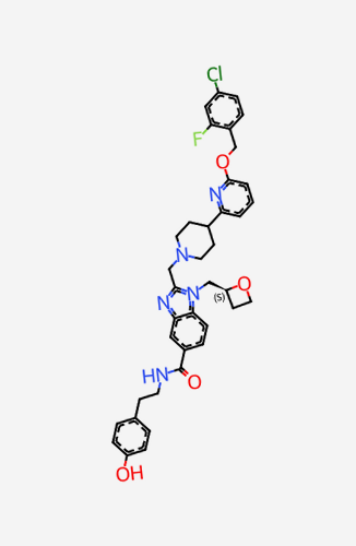 O=C(NCCc1ccc(O)cc1)c1ccc2c(c1)nc(CN1CCC(c3cccc(OCc4ccc(Cl)cc4F)n3)CC1)n2C[C@@H]1CCO1